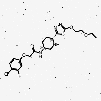 CCOCCOc1nnc([C@H]2CC[C@H](NC(=O)COc3ccc(Cl)c(F)c3)CN2)o1